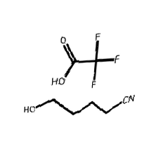 N#CCCCCO.O=C(O)C(F)(F)F